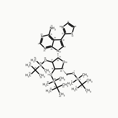 CC(C)(C)[Si](C)(C)OC[C@H]1O[C@@H](n2cc(-c3nccs3)c3c(N)ncnc32)C(O[Si](C)(C)C(C)(C)C)C1O[Si](C)(C)C(C)(C)C